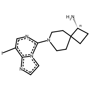 N[C@@H]1CCC12CCN(c1ncc(I)c3nccn13)CC2